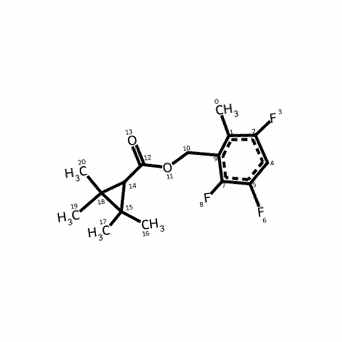 Cc1c(F)cc(F)c(F)c1COC(=O)C1C(C)(C)C1(C)C